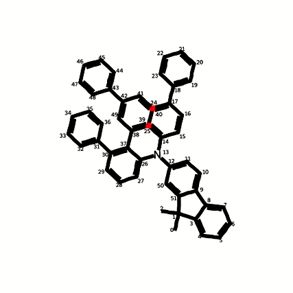 CC1(C)c2ccccc2-c2ccc(N(c3ccc(-c4ccccc4)cc3)c3cccc(-c4ccccc4)c3-c3cccc(-c4ccccc4)c3)cc21